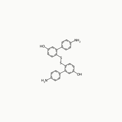 Nc1ccc(-c2cc(O)ccc2SSc2ccc(O)cc2-c2ccc(N)cc2)cc1